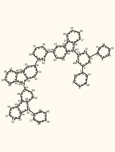 c1ccc(-c2cc(-c3ccccc3)nc(-n3c4ccccc4c4cc(-c5cccc(-c6ccc7c(c6)c6ccccc6n7-c6ccc7c(c6)c6ccncc6n7-c6ccccc6)n5)ccc43)n2)cc1